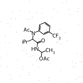 CC(=O)OC(C)NC(=O)C(C(C)C)N(C(C)=O)c1cccc(C(F)(F)F)c1